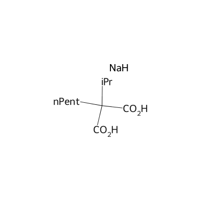 CCCCCC(C(=O)O)(C(=O)O)C(C)C.[NaH]